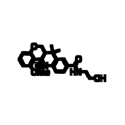 COc1cccc2c1[C@H]1Nc3ccc(C(=O)NCCO)cc3C(C)(C)C1CO2